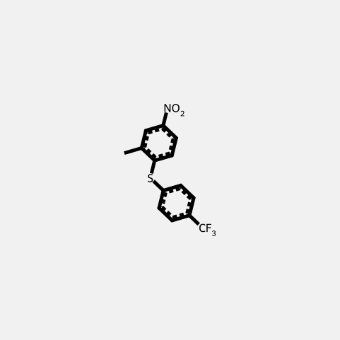 Cc1cc([N+](=O)[O-])ccc1Sc1ccc(C(F)(F)F)cc1